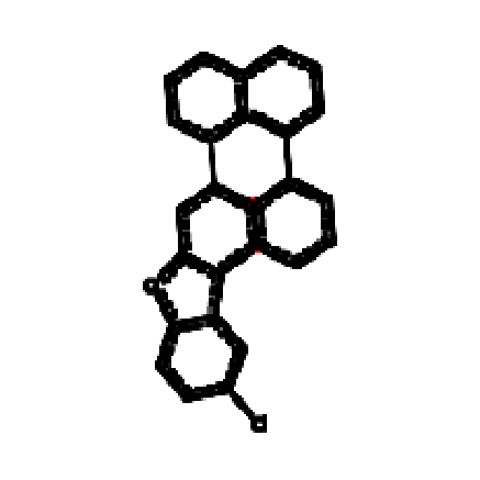 Clc1ccc2oc3cc(-c4cccc5cccc(-c6ccccc6)c45)ccc3c2c1